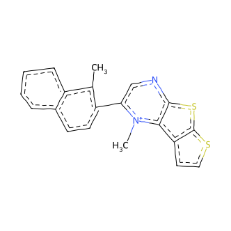 Cc1c(-c2cnc3sc4sccc4c3[n+]2C)ccc2ccccc12